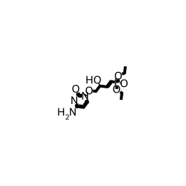 CCOP(=O)(/C=C/[C@@H](O)COn1ccc(N)nc1=O)OCC